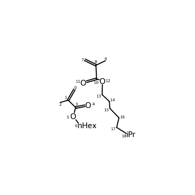 C=C(C)C(=O)OCCCCCC.C=C(C)C(=O)OCCCCCC(C)C